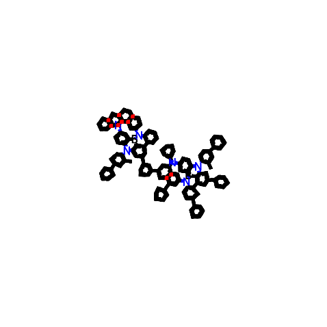 Cc1cc(-c2ccccc2)ccc1N1c2ccc(N(c3ccccc3)c3ccccc3)cc2B2c3c(cc(-c4cccc(-c5cccc(N(c6ccccc6)c6ccc7c(c6)B6c8c(cc(-c9ccccc9)cc8N7c7ccc(-c8ccccc8)cc7C)-c7cc(-c8ccccc8)ccc7N6c6cccc(-c7ccccc7)c6)c5)c4)cc31)-c1ccccc1N2c1cccc(-c2ccccc2)c1